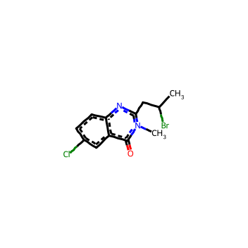 CC(Br)Cc1nc2ccc(Cl)cc2c(=O)n1C